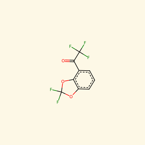 O=C(c1cccc2c1OC(F)(F)O2)C(F)(F)F